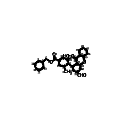 Cc1cc(C(=O)OCc2ccccc2)cc(C)c1-c1cc(C=O)cc2nc3ccccc3c(C(=O)O)c12